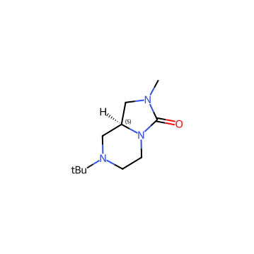 CN1C[C@@H]2CN(C(C)(C)C)CCN2C1=O